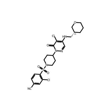 N#Cc1ccc(S(=O)(=O)N2CCC(n3ncc(NC[C@H]4CCCOC4)c(Cl)c3=O)CC2)c(Cl)c1